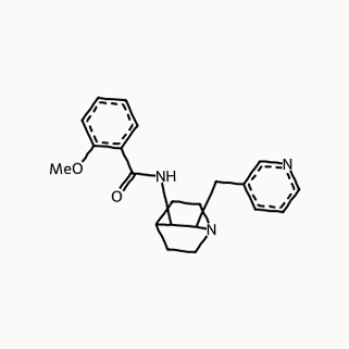 COc1ccccc1C(=O)NC1C2CCN(CC2)C1Cc1cccnc1